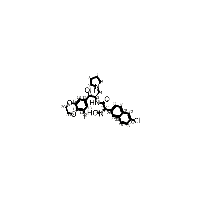 O=C(N[C@H](CN1CCCC1)[C@H](O)c1cc(F)c2c(c1)OCCO2)C(=NO)c1ccc2cc(Cl)ccc2c1